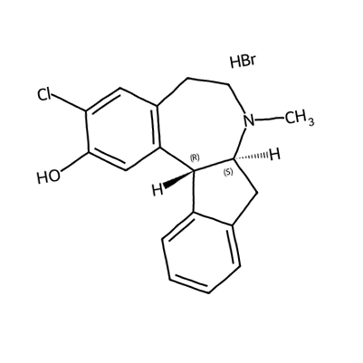 Br.CN1CCc2cc(Cl)c(O)cc2[C@H]2c3ccccc3C[C@@H]21